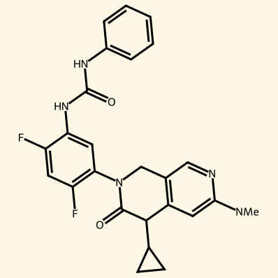 CNc1cc2c(cn1)CN(c1cc(NC(=O)Nc3ccccc3)c(F)cc1F)C(=O)C2C1CC1